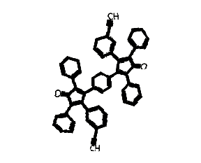 C#Cc1cccc(C2=C(c3ccccc3)C(=O)C(C3=CCCC=C3)=C2C2=CC=C(C3=C(c4ccccc4)C(=O)C(C4=CCCC=C4)=C3C3=CC(C#C)CC=C3)CC2)c1